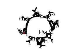 CC(C)c1cc2c(O)c(c1)Cc1cc(C(C)C)cc(c1O)Cc1cc(C(C)C)cc(c1O)Cc1cc(C(C)C)cc(c1O)Cc1cc(C(C)C)cc(c1O)Cc1cc(C(C)C)cc(c1O)Cc1cc(C(C)C)cc(c1O)Cc1cc(C(C)C)cc(c1O)C2